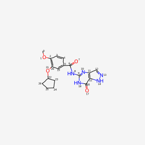 COc1ccc(C(=O)Nc2nc3cn[nH]c3c(=O)[nH]2)cc1OC1CCCC1